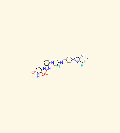 CN(CC1CCC(n2cc(N)c(C(F)F)n2)CC1)C1CCN(c2cccc3c2n(C)c(=O)n3C2CCC(=O)NC2=O)CC1(F)F